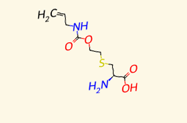 C=CCNC(=O)OCCSC[C@H](N)C(=O)O